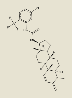 CN1C(=O)C=C[C@]2(C)[C@H]3CC[C@]4(C)[C@@H](NC(=O)Nc5cc(Cl)ccc5C(F)(F)F)CC[C@H]4[C@@H]3CC[C@@H]12